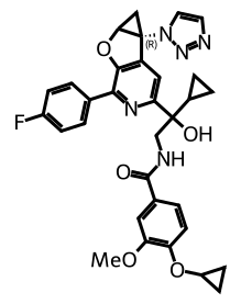 COc1cc(C(=O)NCC(O)(c2cc3c(c(-c4ccc(F)cc4)n2)OC2C[C@@]32n2ccnn2)C2CC2)ccc1OC1CC1